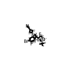 CC(C)(C)[S@+]([O-])NC(c1cn(C2CC(C#N)C2)c2cc(Br)c(F)cc12)C(F)F